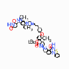 Cc1cc2c(C3CCC(=O)NC3=O)nn(C)c2cc1N1CCN(CCCC2CCC(Oc3cccc(-c4ccc(N5CCc6cccc(C(=O)Nc7nc8ccccc8s7)c6C5)nc4C(=O)OC(C)(C)C)c3C)CC2)CC1